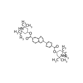 CC1(C)CC(OC(=O)c2ccc(-c3ccc4cc(C(=O)OC5CC(C)(C)NC(C)(C)C5)ccc4c3)cc2)CC(C)(C)N1